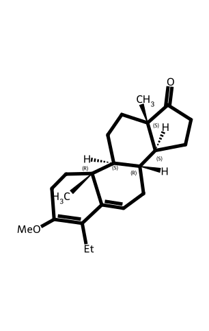 CCC1=C(OC)CC[C@@]2(C)C1=CC[C@@H]1[C@@H]2CC[C@]2(C)C(=O)CC[C@@H]12